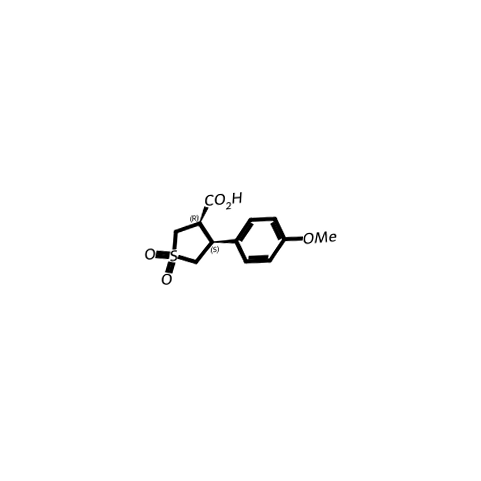 COc1ccc([C@H]2CS(=O)(=O)C[C@H]2C(=O)O)cc1